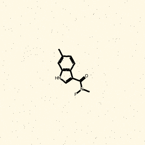 Cc1ccc2c(C(=O)N(C)F)c[nH]c2c1